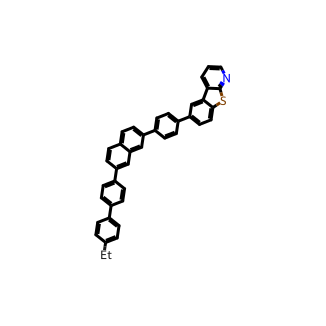 CCc1ccc(-c2ccc(-c3ccc4ccc(-c5ccc(-c6ccc7sc8ncccc8c7c6)cc5)cc4c3)cc2)cc1